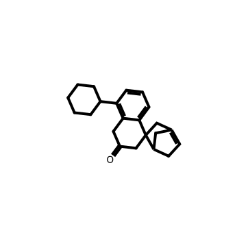 O=C1Cc2c(C3CCCCC3)cccc2C2(C1)CC1=CCC2C1